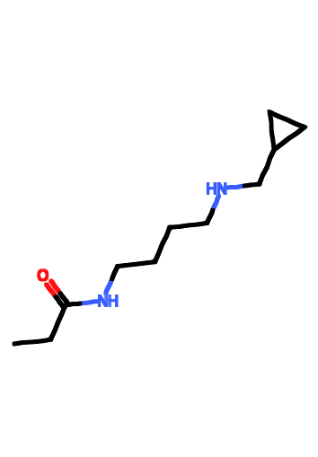 CCC(=O)NCCCCNCC1CC1